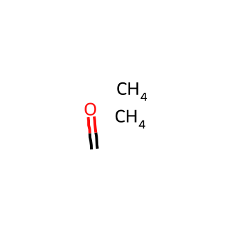 C.C.C=O